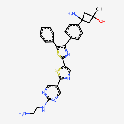 CC1(O)CC(N)(c2ccc(-c3nc(-c4cnc(-c5cnc(NCCN)nc5)s4)sc3-c3ccccc3)cc2)C1